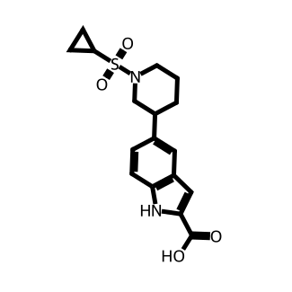 O=C(O)c1cc2cc(C3CCCN(S(=O)(=O)C4CC4)C3)ccc2[nH]1